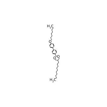 C=CCCCCCCCCC1COC(c2ccc(-c3ccc(OCCCCCCCC)cc3)cc2)OC1